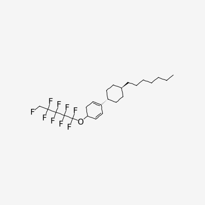 CCCCCCC[C@H]1CC[C@H](C2=CCC(OC(F)(F)C(F)(F)C(F)(F)C(F)(F)CF)C=C2)CC1